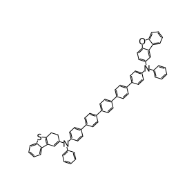 C1=C(N(c2ccccc2)c2ccc(-c3ccc(-c4ccc(-c5ccc(-c6ccc(N(c7ccccc7)c7ccc8oc9ccccc9c8c7)cc6)cc5)cc4)cc3)cc2)CCc2sc3ccccc3c21